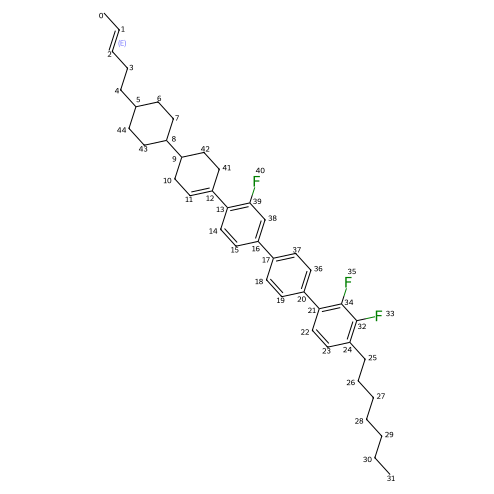 C/C=C/CCC1CCC(C2CC=C(c3ccc(-c4ccc(-c5ccc(CCCCCCC)c(F)c5F)cc4)cc3F)CC2)CC1